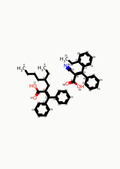 CCCCC(CC)CC(C(=O)O)=C(c1ccccc1)c1ccccc1.CCc1ccccc1C(=C(C#N)C(=O)O)c1ccccc1